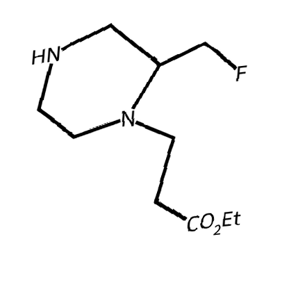 CCOC(=O)CCN1CCNCC1CF